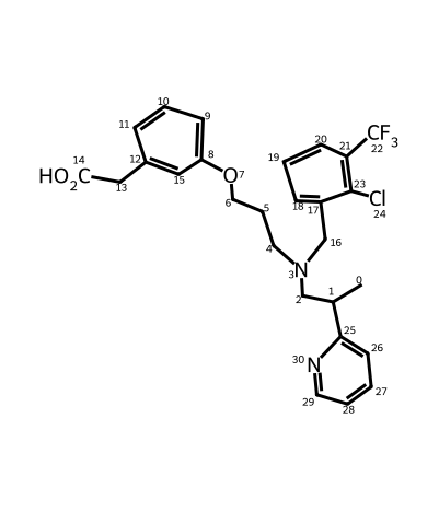 CC(CN(CCCOc1cccc(CC(=O)O)c1)Cc1cccc(C(F)(F)F)c1Cl)c1ccccn1